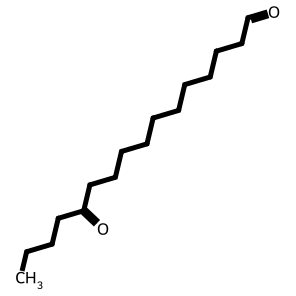 CCCCC(=O)CCCCCCCCCCC=O